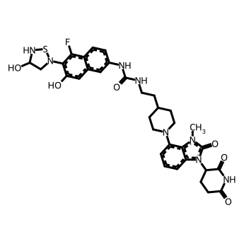 Cn1c(=O)n(C2CCC(=O)NC2=O)c2cccc(N3CCC(CCNC(=O)Nc4ccc5c(F)c(N6CC(O)NS6)c(O)cc5c4)CC3)c21